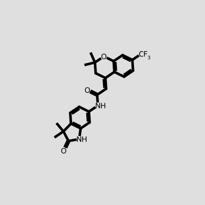 CC1(C)C/C(=C\C(=O)Nc2ccc3c(c2)NC(=O)C3(C)C)c2ccc(C(F)(F)F)cc2O1